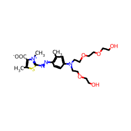 Cc1cc(N(CCOCCO)CCOCCOCCO)ccc1/N=N/c1sc(C)c(C(=O)[O-])[n+]1C